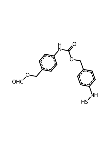 O=COCc1ccc(NC(=O)OCc2ccc(NS)cc2)cc1